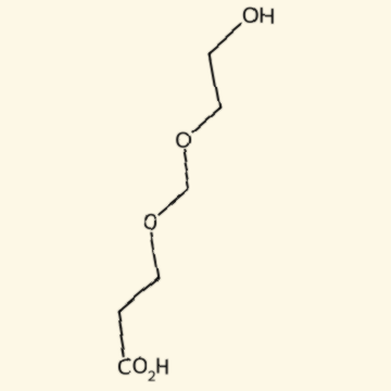 O=C(O)CCOCOCCO